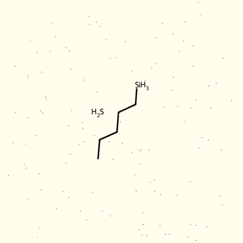 CCCCC[SiH3].S